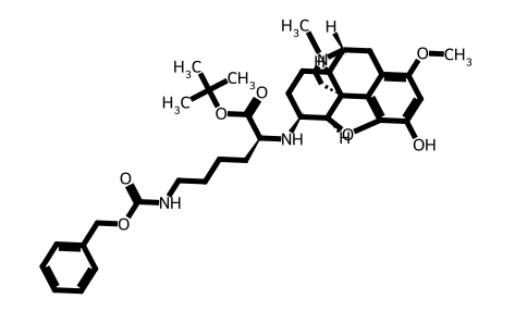 COc1cc(O)c2c3c1C[C@@H]1[C@@H]4CC[C@H](N[C@@H](CCCCNC(=O)OCc5ccccc5)C(=O)OC(C)(C)C)[C@H](O2)[C@]34CCN1C